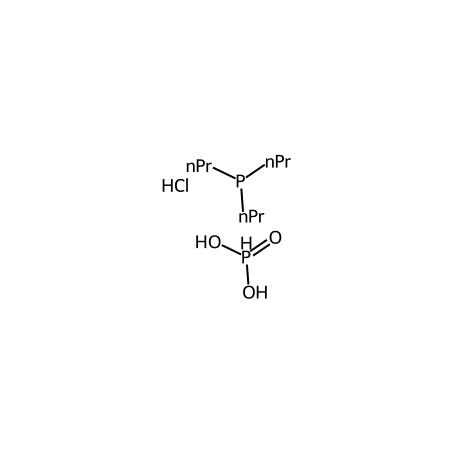 CCCP(CCC)CCC.Cl.O=[PH](O)O